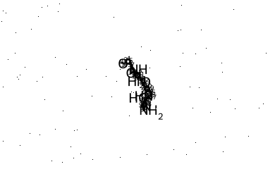 COc1cccc(CCNC(=O)c2ccc(CNC(=O)Cc3ccc(CC(C)NC[C@H](O)c4ccc(N)nc4)cc3)cc2)c1